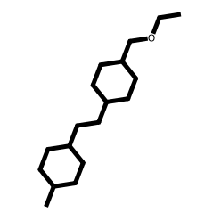 CCOCC1CCC(CCC2CCC(C)CC2)CC1